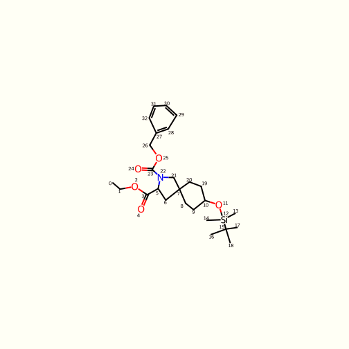 CCOC(=O)C1CC2(CCC(O[Si](C)(C)C(C)(C)C)CC2)CN1C(=O)OCc1ccccc1